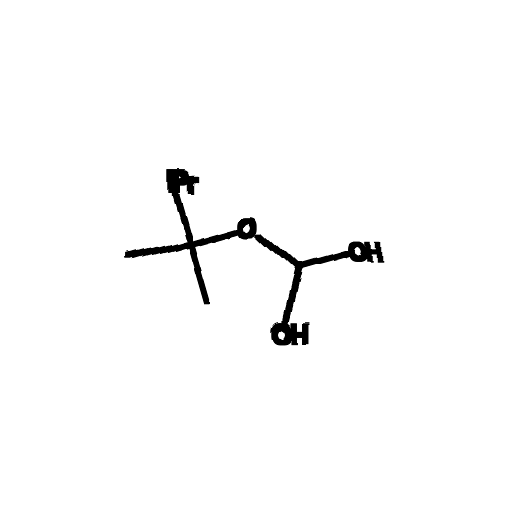 CC(C)C(C)(C)OC(O)O